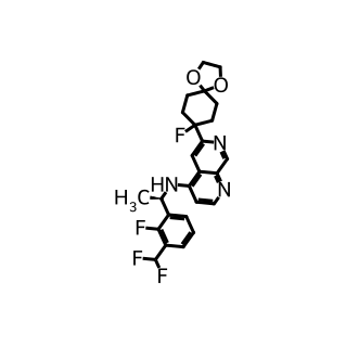 C[C@@H](Nc1ccnc2cnc(C3(F)CCC4(CC3)OCCO4)cc12)c1cccc(C(F)F)c1F